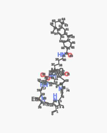 C=Cc1c(C)c2cc3nc(c(CC(=O)OC)c4[nH]c(cc5nc(cc1[nH]2)C(C)=C5CC)c(C)c4C(=O)NCCCCCCNC(=O)c1ccc(C(=C)c2cc4c(cc2C)C(C)(C)CCC4(C)C)cc1)[C@@H](CCC(=O)OC)[C@@H]3C